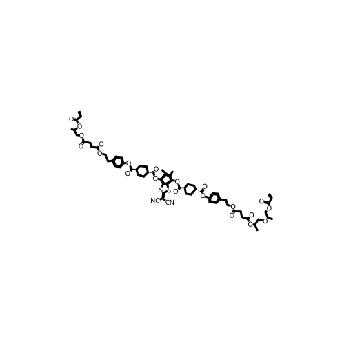 C=CC(=O)OCC(C)OCC(C)OC(=O)CCC(=O)OCCc1ccc(OC(=O)[C@H]2CC[C@H](C(=O)Oc3c(C)c(C)c(OC(=O)[C@H]4CC[C@H](C(=O)Oc5ccc(CCOC(=O)CCC(=O)OCC(C)OC(=O)C=C)cc5)CC4)c4c3SC(=C(C#N)C#N)S4)CC2)cc1